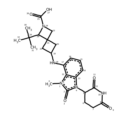 Cn1c(=O)n(C2CCC(=O)NC2=O)c2cccc(NC3CC4(C3)CN(C(=O)O)C4C(C)(C)C)c21